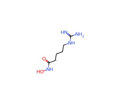 N=C(N)NCCC[CH]C(=O)NO